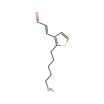 CCCCCCc1sccc1C=CC=O